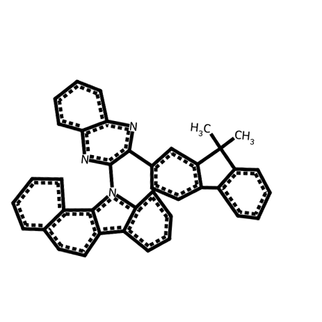 CC1(C)c2ccccc2-c2ccc(-c3nc4ccccc4nc3-n3c4ccccc4c4ccc5ccccc5c43)cc21